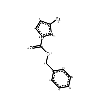 CCc1ccn(C(=O)OCc2ccccc2)n1